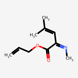 C=CCOC(=O)/C(C=C(C)C)=N\C